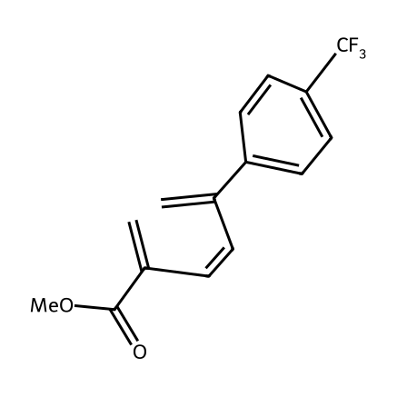 C=C(/C=C\C(=C)c1ccc(C(F)(F)F)cc1)C(=O)OC